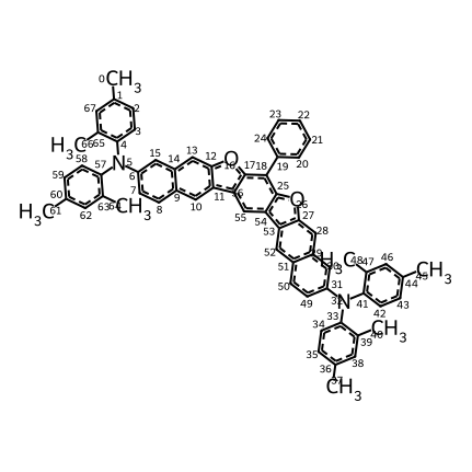 Cc1ccc(N(c2ccc3cc4c(cc3c2)oc2c(-c3ccccc3)c3oc5cc6cc(N(c7ccc(C)cc7C)c7ccc(C)cc7C)ccc6cc5c3cc24)c2ccc(C)cc2C)c(C)c1